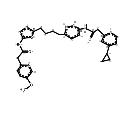 COc1ccc(CC(=O)Nc2nnc(CCCCc3ccc(NC(=O)Cc4cc(C5CC5)ccn4)nn3)s2)nc1